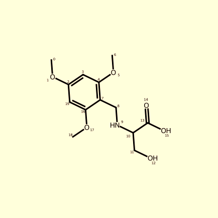 COc1cc(OC)c(CNC(CO)C(=O)O)c(OC)c1